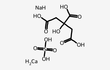 O=C(O)CC(O)(CC(=O)O)C(=O)O.O=S(=O)(O)O.[CaH2].[NaH]